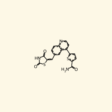 NC(=O)c1ccc(-c2ccnc3ccc(/C=C4/SC(=O)NC4=O)cc23)s1